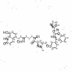 CCN(CCCNC[C@H](O)c1ccc(O)c2[nH]c(=O)ccc12)C(=O)c1cc(COc2cccc([C@@H](NC(=O)O[C@H]3CN4CCC3CC4)c3ccccc3)c2)n(C)n1